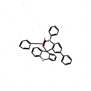 c1ccc(-c2ccc3c(c2)C2(c4ccccc4Oc4ccccc42)c2cc(-c4ccccc4)ccc2N3c2ccccc2)cc1